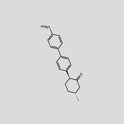 CCCCCCCc1ccc(-c2ccc([C@@H]3CC[C@@H](C)CC3=O)cc2)cc1